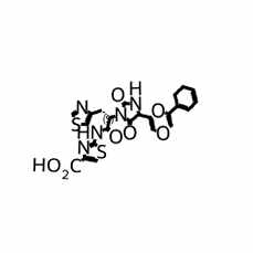 O=C(O)c1csc(NC(=O)[C@H](Cc2cscn2)N2C(=O)NC(C3=COC=C(C4=CC=CCC4)O3)C2=O)n1